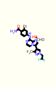 CCc1cc(Nc2nccn3c(-c4cn(CC(F)F)nc4C(F)(F)F)cnc23)ccc1C(N)=O.O=CO